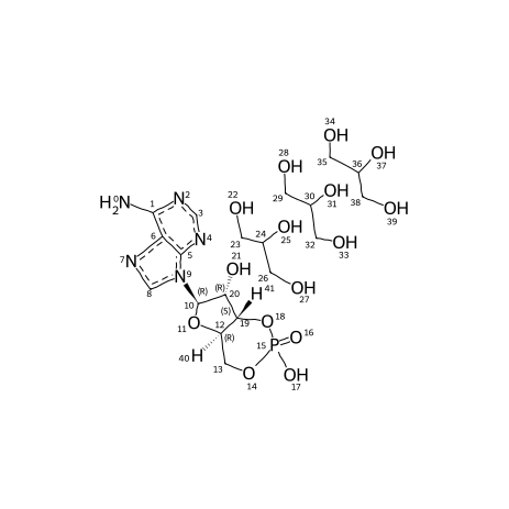 Nc1ncnc2c1ncn2[C@@H]1O[C@@H]2COP(=O)(O)O[C@H]2[C@H]1O.OCC(O)CO.OCC(O)CO.OCC(O)CO